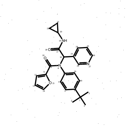 CC(C)(C)c1ccc(N(C(=O)c2ccco2)C(C(=O)NC2CC2)c2cccnc2)cc1